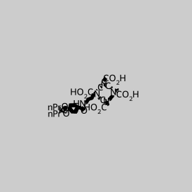 CCCN(CCC)S(=O)(=O)c1ccc(C(=O)NCCCC(C(=O)O)N2CCN(CC(=O)O)CCN(CC(=O)O)CCN(CC(=O)O)CC2)cc1